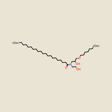 CCCCCCCCCCCCCCCCCCCCCCCCCCCCCC(=O)N(CCO)CC(O)COCCCCCCCCCCCCCCCC